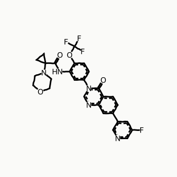 O=C(Nc1cc(-n2cnc3cc(-c4cncc(F)c4)ccc3c2=O)ccc1OC(F)(F)F)C1(N2CCOCC2)CC1